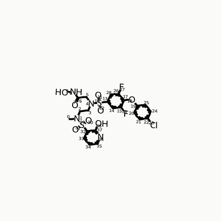 CN(CCN(CC(=O)NO)S(=O)(=O)c1cc(F)c(Oc2ccc(Cl)cc2)c(F)c1)S(=O)(=O)c1cccnc1O